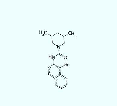 CC1CC(C)CN(C(=O)Nc2ccc3ccccc3c2Br)C1